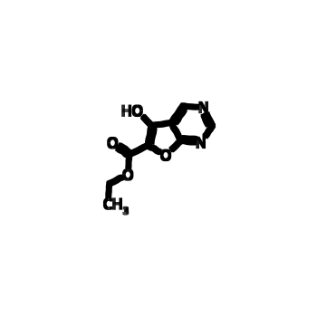 CCOC(=O)c1oc2ncncc2c1O